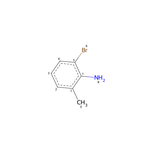 Cc1cccc(Br)c1N